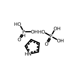 O=P(O)(O)O.O=[PH](O)O.c1cc[nH]c1